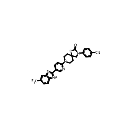 N#Cc1ccc(N2CC3(CCN(c4ccc(-c5nc6cc(C(F)(F)F)ccc6[nH]5)cn4)CC3)OC2=O)cc1